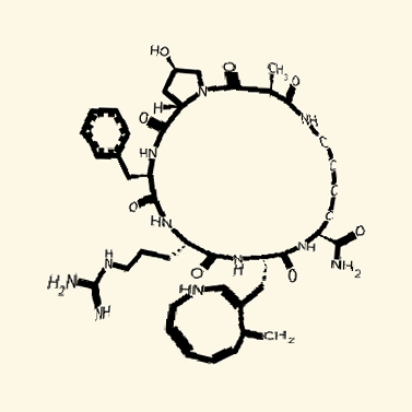 C=C1/C=C\C=C/CN/C=C\1C[C@@H]1NC(=O)[C@H](CCCNC(=N)N)NC(=O)[C@@H](Cc2ccccc2)NC(=O)[C@@H]2C[C@@H](O)CN2C(=O)[C@@H](C)C(=O)NCCCC[C@@H](C(N)=O)NC1=O